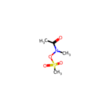 CC(=O)N(C)OS(C)(=O)=O